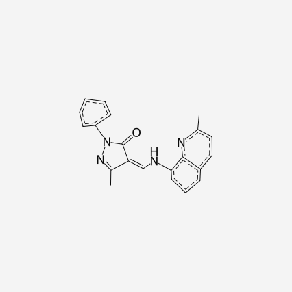 CC1=NN(c2ccccc2)C(=O)/C1=C\Nc1cccc2ccc(C)nc12